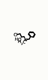 CN(Cc1ccccc1)C[C@H](O)CCl